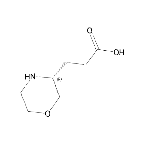 O=C(O)CC[C@@H]1COCCN1